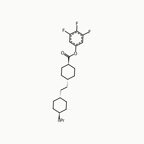 CCC[C@H]1CC[C@H](CC[C@H]2CC[C@H](C(=O)Oc3cc(F)c(F)c(F)c3)CC2)CC1